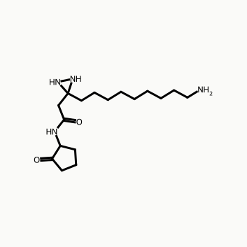 NCCCCCCCCCC1(CC(=O)NC2CCCC2=O)NN1